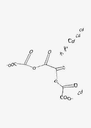 O=C([O-])C(=O)OC(=O)C(=O)OC(=O)C(=O)[O-].[Cd].[Cd].[Cd].[Cd].[K+].[K+]